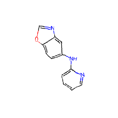 c1ccc(Nc2ccc3ocnc3c2)nc1